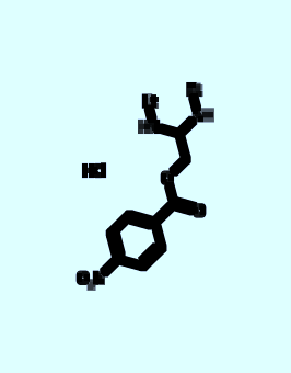 CCNC(COC(=O)c1ccc([N+](=O)[O-])cc1)NCC.Cl